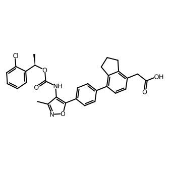 Cc1noc(-c2ccc(-c3ccc(CC(=O)O)c4c3CCC4)cc2)c1NC(=O)O[C@H](C)c1ccccc1Cl